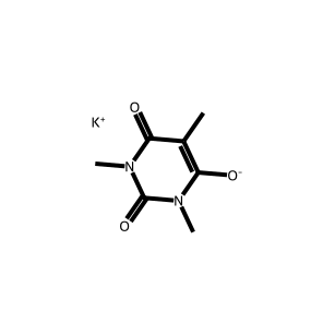 Cc1c([O-])n(C)c(=O)n(C)c1=O.[K+]